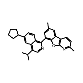 Cc1cc(-c2ncc(C(C)C)c3cc(C4CCCC4)ccc23)c2oc3nc(C)ccc3c2c1